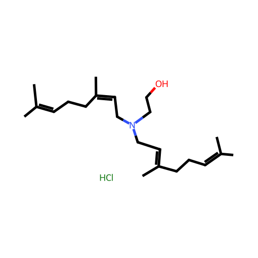 CC(C)=CCCC(C)=CCN(CC=C(C)CCC=C(C)C)CCO.Cl